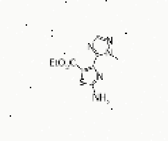 CCOC(=O)c1sc(N)nc1-c1ncnn1C